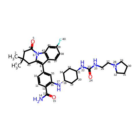 CC1(C)CC(=O)n2c(c(-c3ccc(C(N)=O)c(N[C@H]4CC[C@H](NC(=O)NCCN5CCCC5)CC4)c3)c3ccc(F)cc32)C1